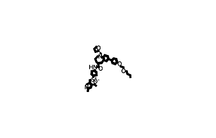 CCCCOCCOc1ccc(-c2ccc3c(c2)/C=C(/C(=O)Nc2ccc([S@@+]([O-])Cc4cnc(C)cc4CC)cc2)CCCN3C[C@@H]2CCCO2)cc1